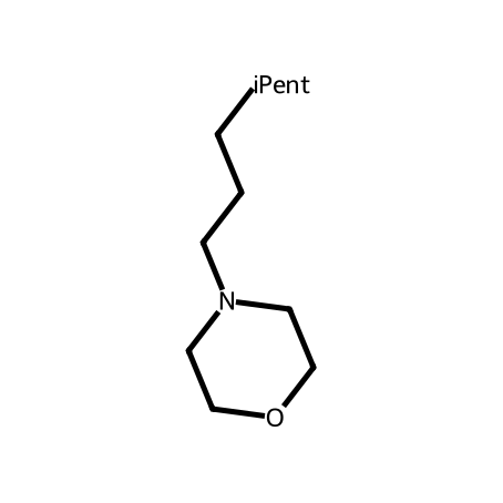 CCCC(C)CCCN1CCOCC1